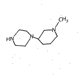 CN1CCCC(N2CCNCC2)C1